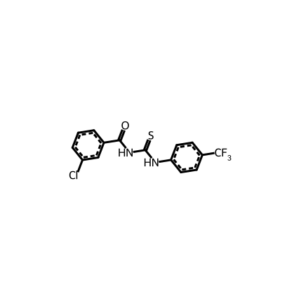 O=C(NC(=S)Nc1ccc(C(F)(F)F)cc1)c1cccc(Cl)c1